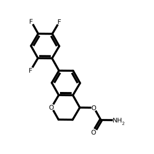 NC(=O)OC1CCOc2cc(-c3cc(F)c(F)cc3F)ccc21